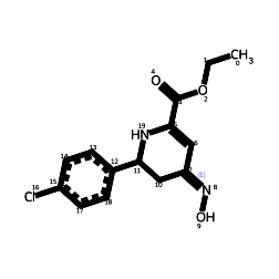 CCOC(=O)C1=C/C(=N/O)CC(c2ccc(Cl)cc2)N1